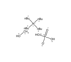 CCCC[N+](CCCC)(CCCC)CCCC.CO.O=P([O-])(O)O